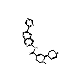 CN1CCC(C(=O)Nc2cc3cc(-c4cnco4)ccc3cn2)=CC1=C1C=CNCC1